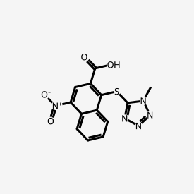 Cn1nnnc1Sc1c(C(=O)O)cc([N+](=O)[O-])c2ccccc12